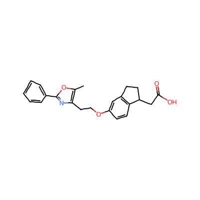 Cc1oc(-c2ccccc2)nc1CCOc1ccc2c(c1)CCC2CC(=O)O